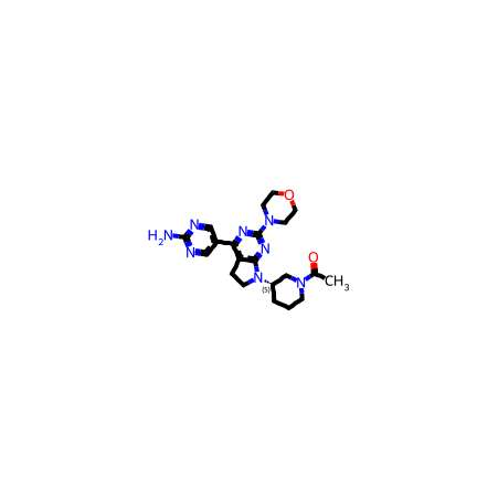 CC(=O)N1CCC[C@H](N2CCc3c(-c4cnc(N)nc4)nc(N4CCOCC4)nc32)C1